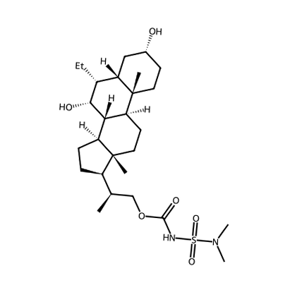 CC[C@H]1[C@@H](O)[C@@H]2[C@H](CC[C@]3(C)[C@@H]([C@H](C)COC(=O)NS(=O)(=O)N(C)C)CC[C@@H]23)[C@@]2(C)CC[C@@H](O)C[C@@H]12